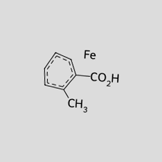 Cc1ccccc1C(=O)O.[Fe]